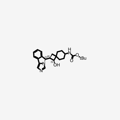 CC(C)(C)OC(=O)NC1CCC2(CC1)C[C@H]([C@H]1c3ccccc3-c3cncn31)[C@@H]2O